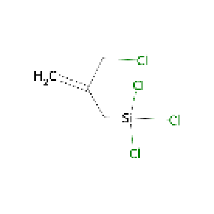 C=C(CCl)C[Si](Cl)(Cl)Cl